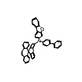 C1=Cc2ccccc2C2(c3ccccc31)c1ccccc1-c1cc(N(c3ccc(-c4ccccc4)cc3)c3ccc4c(c3)oc3ccccc34)ccc12